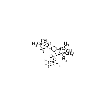 CC(C)(C)OC(=O)Nc1cc(CO[Si](C)(C)C(C)(C)C)ccc1B1OC(C)(C)C(C)(C)O1